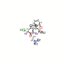 CCCCc1oc2ccccc2c1-c1c(C=O)cc(I)c(OCCN(CC)CC)c1I.Cl